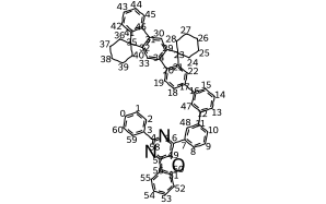 c1ccc(-c2nc(-c3cccc(-c4cccc(-c5ccc6c(c5)C5(CCCCC5)c5cc7c(cc5-6)C5(CCCCC5)c5ccccc5-7)c4)c3)c3oc4ccccc4c3n2)cc1